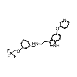 FC(F)(F)COc1cccc(CNCCc2c[nH]c3ccc(Oc4cccnc4)cc23)c1